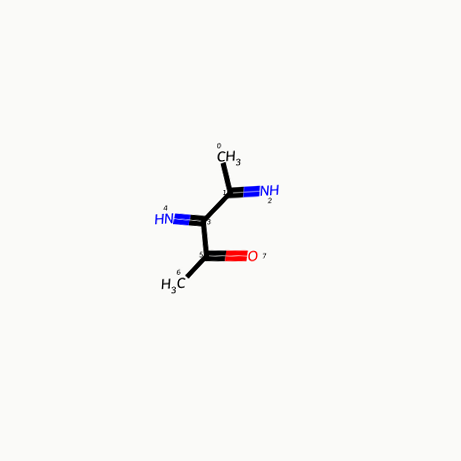 CC(=N)C(=N)C(C)=O